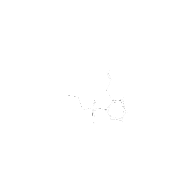 C=CCc1ccccc1S(=O)(=O)OCC